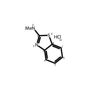 CNc1nc2ccccc2s1.Cl